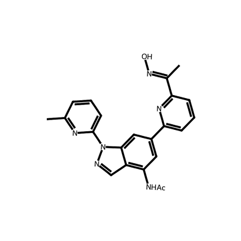 CC(=O)Nc1cc(-c2cccc(C(C)=NO)n2)cc2c1cnn2-c1cccc(C)n1